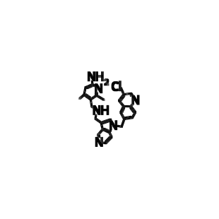 Cc1cc(N)nc(C)c1CNCc1cn(Cc2ccc3ncc(Cl)cc3c2)c2ccncc12